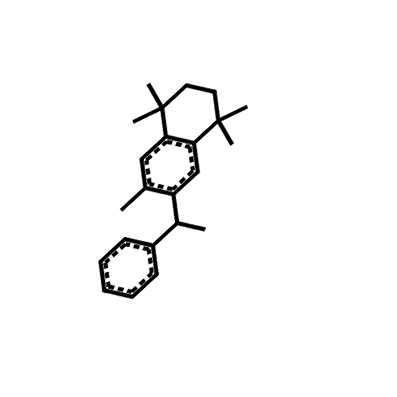 Cc1cc2c(cc1C(C)c1ccccc1)C(C)(C)CCC2(C)C